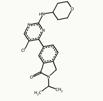 CC(C)N1Cc2ccc(-c3nc(NC4CCOCC4)ncc3Cl)cc2C1=O